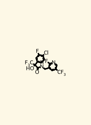 O=C(NCc1cc(C(F)(F)F)cnc1F)C(O)(c1ccc(Cl)c(F)c1)C(F)(F)F